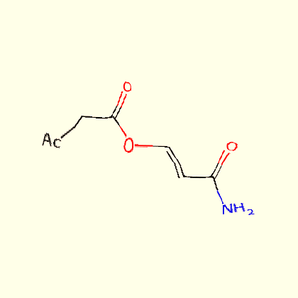 CC(=O)CC(=O)OC=CC(N)=O